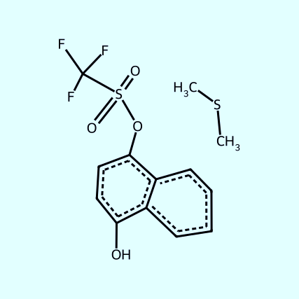 CSC.O=S(=O)(Oc1ccc(O)c2ccccc12)C(F)(F)F